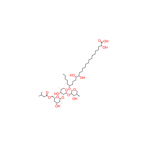 CCCCCC(CCCC(O)C(O)CCCCCCCCCCCCCC(O)C(=O)O)O[C@@H]1OC[C@@H](C)[C@H](O)[C@H]1O[C@@H]1OC[C@@H](C)[C@H](O)[C@H]1O[C@@H]1O[C@H](COC(=O)CC(C)C)[C@@H](C)[C@H](O)[C@H]1C